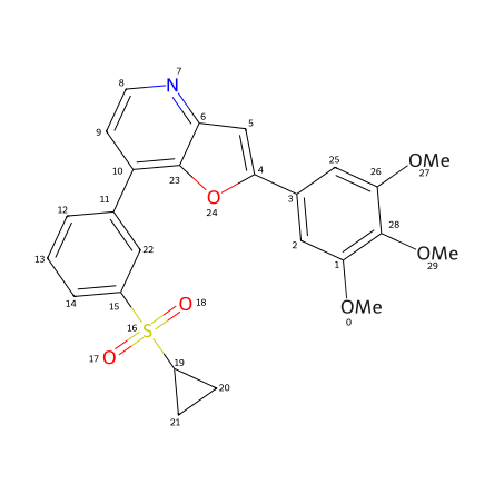 COc1cc(-c2cc3nccc(-c4cccc(S(=O)(=O)C5CC5)c4)c3o2)cc(OC)c1OC